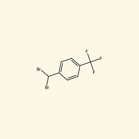 FC(F)(F)c1ccc(C(Br)Br)cc1